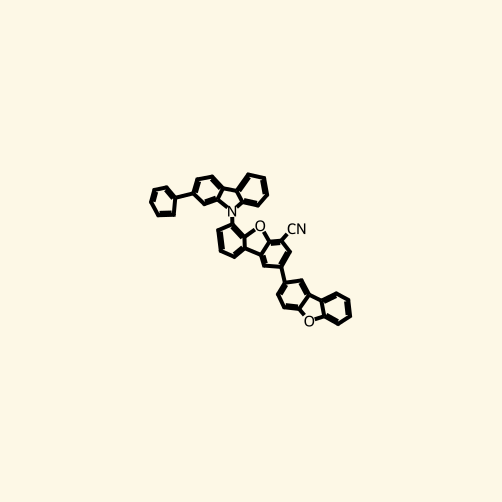 N#Cc1cc(-c2ccc3oc4ccccc4c3c2)cc2c1oc1c(-n3c4ccccc4c4ccc(-c5ccccc5)cc43)cccc12